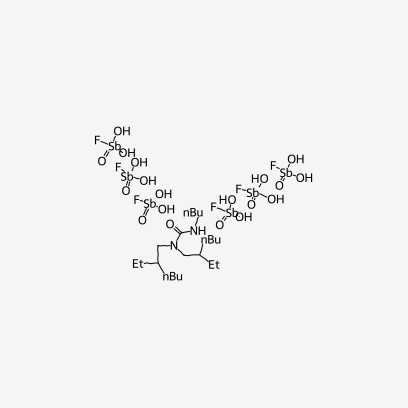 CCCCNC(=O)N(CC(CC)CCCC)CC(CC)CCCC.[O]=[Sb]([OH])([OH])[F].[O]=[Sb]([OH])([OH])[F].[O]=[Sb]([OH])([OH])[F].[O]=[Sb]([OH])([OH])[F].[O]=[Sb]([OH])([OH])[F].[O]=[Sb]([OH])([OH])[F]